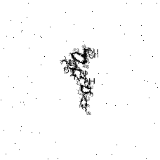 CCn1c(=O)c2cnc(Nc3ccc(N4CCN(C)CC4)c(C)c3)nc2n1-c1ccc(CO)cc1